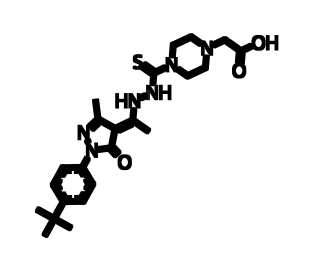 CC1=NN(c2ccc(C(C)(C)C)cc2)C(=O)C1=C(C)NNC(=S)N1CCN(CC(=O)O)CC1